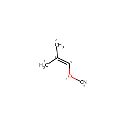 CC(C)=COC#N